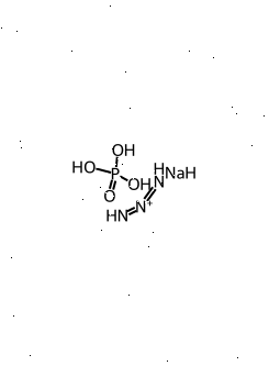 N=[N+]=N.O=P(O)(O)O.[NaH]